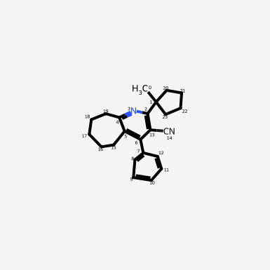 CC1(c2nc3c(c(-c4ccccc4)c2C#N)CCCCC3)CCCC1